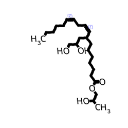 CCCCC/C=C\C/C=C\C(CCCCCCC(=O)OCC(C)O)CC(O)CO